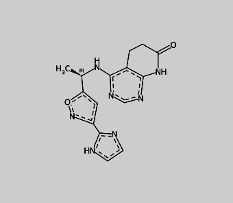 C[C@@H](Nc1ncnc2c1CCC(=O)N2)c1cc(-c2ncc[nH]2)no1